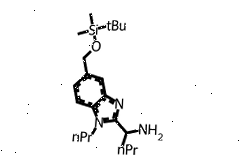 CCCC(N)c1nc2cc(CO[Si](C)(C)C(C)(C)C)ccc2n1CCC